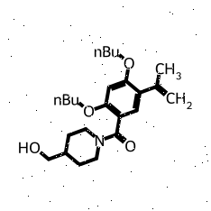 C=C(C)c1cc(C(=O)N2CCC(CO)CC2)c(OCCCC)cc1OCCCC